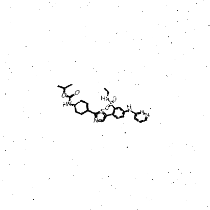 CCNS(=O)(=O)c1cc(Nc2cccnn2)ccc1-c1cnc(C2CCC(NC(=O)OC(C)C)CC2)s1